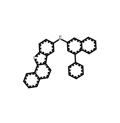 c1ccc(-c2cc(Nc3ccc4sc5c6ccccc6ccc5c4c3)cc3ccccc23)cc1